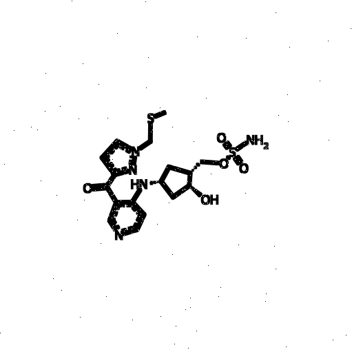 CSCn1ccc(C(=O)c2cnccc2N[C@@H]2C[C@H](COS(N)(=O)=O)[C@@H](O)C2)n1